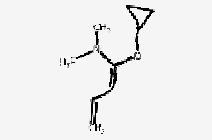 C=C/C=C(/OC1CC1)N(C)C